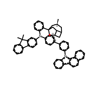 C[C@H]1CC2C[C@H]3CC(c4ccccc4N(c4ccc(-c5cccc(-n6c7ccccc7c7ccc8ccccc8c76)c5)cc4)c4ccc5c(c4)C(C)(C)c4ccccc4-5)(CC23)C1